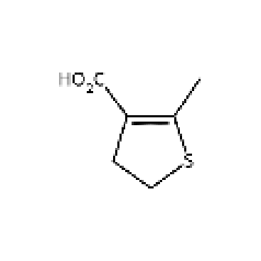 CC1=C(C(=O)O)CCS1